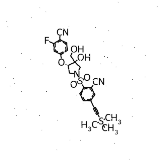 CS(C)(C)C#Cc1ccc(S(=O)(=O)N2C[C@H](Oc3ccc(C#N)c(F)c3)[C@](O)(CO)C2)c(C#N)c1